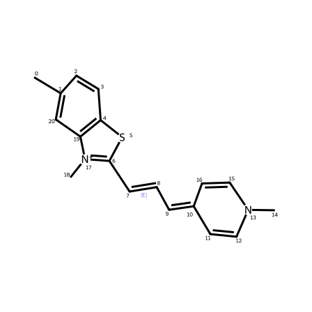 Cc1ccc2sc(/C=C/C=C3C=CN(C)C=C3)[n+](C)c2c1